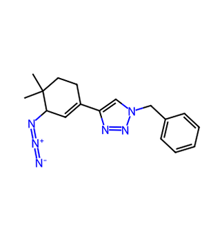 CC1(C)CCC(c2cn(Cc3ccccc3)nn2)=CC1N=[N+]=[N-]